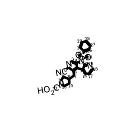 N#Cc1ncc2c(c1CC1CCN(C(=O)O)CC1)c1cccnc1n2S(=O)(=O)c1ccccc1